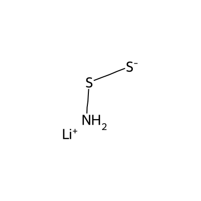 NS[S-].[Li+]